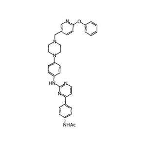 CC(=O)Nc1ccc(-c2ccnc(Nc3ccc(N4CCN(Cc5ccc(Oc6ccccc6)nc5)CC4)cc3)n2)cc1